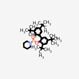 CC(C)(C)c1cc(C(C)(C)C)c2op(N3CCCCC3)oc3c(C(C)(C)C)cc(C(C)(C)C)cc3c2c1